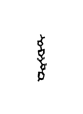 Cc1ccc(-c2cc(C(=O)Nc3ccc(N4CCC(N(C)C)C4)cc3)[nH]n2)cc1